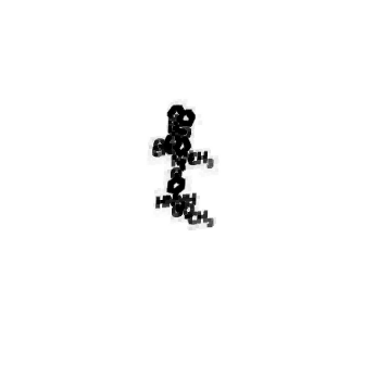 CCOC(=O)NC(=N)c1ccc(OCc2nc3cc(N(CC(=O)OC)S(=O)(=O)c4cccc5cccnc45)ccc3n2C)cc1